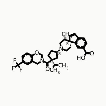 CC(C)[C@]1(C(=O)N2COc3ccc(C(F)(F)F)cc3C2)CC[C@@H](N2CC[C@@]3(C=Cc4ccc(C(=O)O)cc43)[C@@H](C)C2)C1